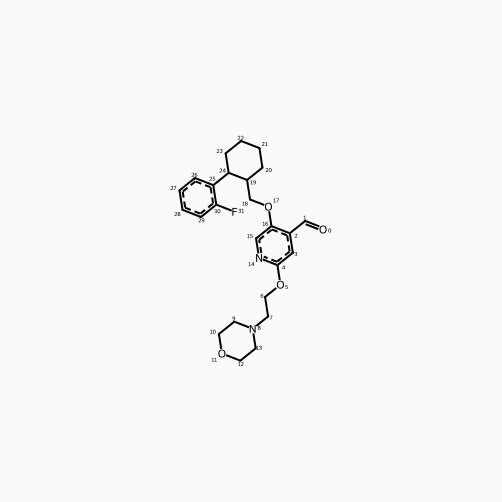 O=Cc1cc(OCCN2CCOCC2)ncc1OCC1CCCCC1c1ccccc1F